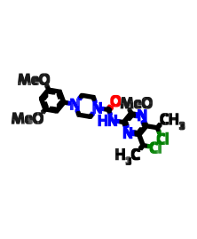 COc1cc(OC)cc(N2CCN(C(=O)Nc3nc(C(C)Cl)c(C(C)Cl)nc3OC)CC2)c1